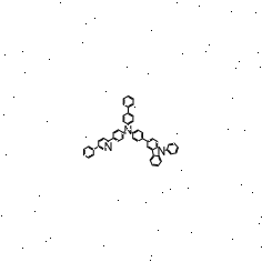 c1ccc(-c2ccc(N(c3ccc(-c4ccc5c(c4)c4ccccc4n5-c4ccccc4)cc3)c3ccc(-c4ccc(-c5ccccc5)cn4)cc3)cc2)cc1